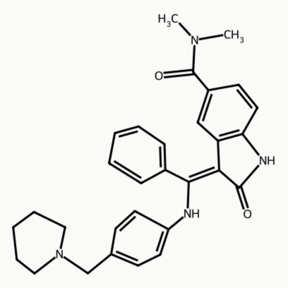 CN(C)C(=O)c1ccc2c(c1)/C(=C(/Nc1ccc(CN3CCCCC3)cc1)c1ccccc1)C(=O)N2